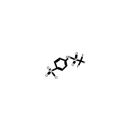 O=S(=O)(Cl)c1ccc(NS(=O)(=O)C(F)(F)F)cc1